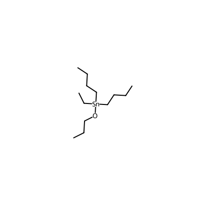 CCC[CH2][Sn]([CH2]C)([CH2]CCC)[O]CCC